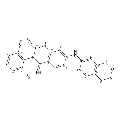 N=c1c2cnc(Nc3ccc4c(c3)COCC4)nc2[nH]c(=O)n1-c1c(Cl)cccc1Cl